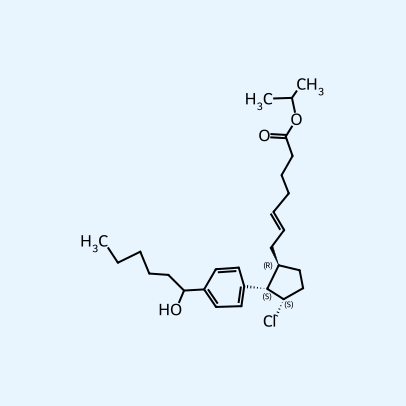 CCCCCC(O)c1ccc([C@@H]2[C@@H](CC=CCCCC(=O)OC(C)C)CC[C@@H]2Cl)cc1